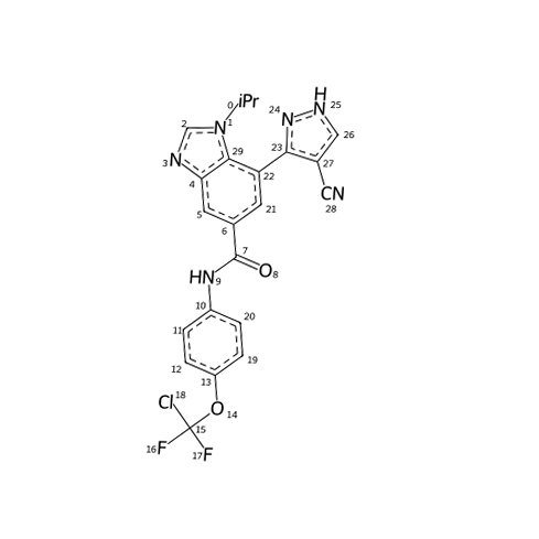 CC(C)n1cnc2cc(C(=O)Nc3ccc(OC(F)(F)Cl)cc3)cc(-c3n[nH]cc3C#N)c21